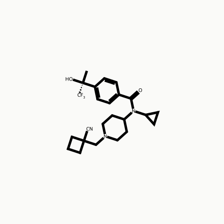 C[C@](O)(c1ccc(C(=O)N(C2CC2)C2CCN(CC3(C#N)CCC3)CC2)cc1)C(F)(F)F